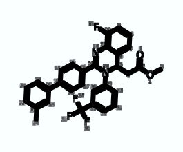 COC(=O)CC1c2cccc(F)c2N=C(c2ccc(-c3cccc(C)c3)cc2)N1c1cccc(C(F)(F)F)c1